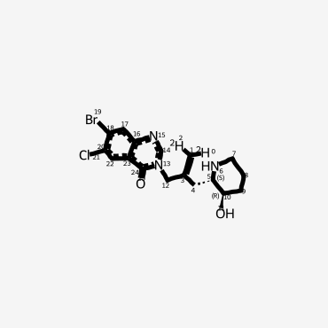 [2H]C([2H])=C(C[C@@H]1NCCC[C@H]1O)Cn1cnc2cc(Br)c(Cl)cc2c1=O